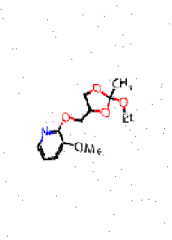 CCOC1(C)OCC(COc2ncccc2OC)O1